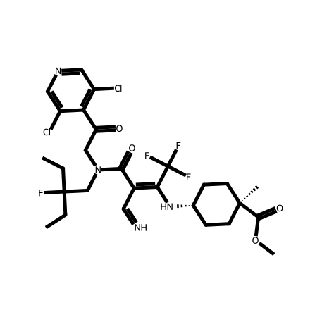 CCC(F)(CC)CN(CC(=O)c1c(Cl)cncc1Cl)C(=O)/C(C=N)=C(/N[C@H]1CC[C@](C)(C(=O)OC)CC1)C(F)(F)F